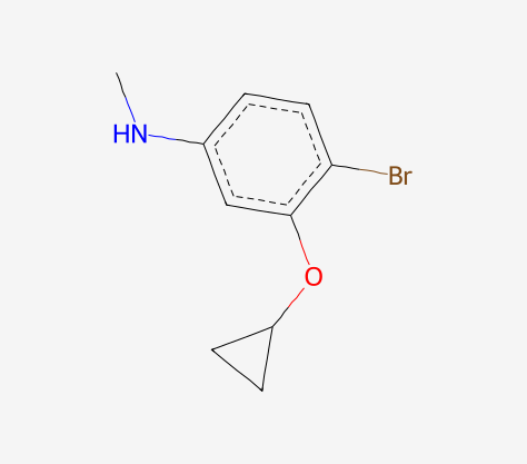 CNc1ccc(Br)c(OC2CC2)c1